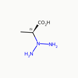 C[C@@H](C(=O)O)N(N)N